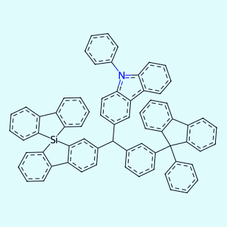 c1ccc(-n2c3ccccc3c3cc(C(c4cccc(C5(c6ccccc6)c6ccccc6-c6ccccc65)c4)c4ccc5c(c4)[Si]4(c6ccccc6-c6ccccc64)c4ccccc4-5)ccc32)cc1